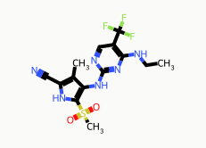 CCNc1nc(Nc2c(S(C)(=O)=O)[nH]c(C#N)c2C)ncc1C(F)(F)F